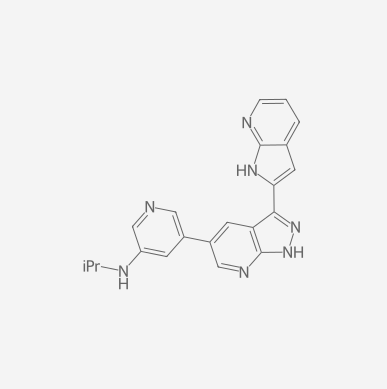 CC(C)Nc1cncc(-c2cnc3[nH]nc(-c4cc5cccnc5[nH]4)c3c2)c1